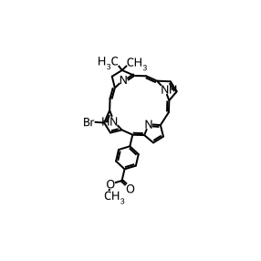 COC(=O)c1ccc(-c2c3nc(cc4ccc(cc5nc(cc6[nH]c2cc6Br)CC5(C)C)[nH]4)C=C3)cc1